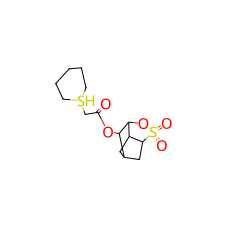 O=C(C[SH]1CCCCC1)OC1C2CC3C1OS(=O)(=O)C3C2